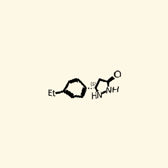 CCc1ccc([C@@H]2CC(=O)NN2)cc1